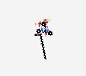 CCCCCCCCCCCCCCCCCCOc1ccccc1/N=N/c1c(NC(=O)c2cc(S(=O)(=O)O)cc(S(=O)(=O)O)c2)[nH]n(-c2ccccc2)c1=O.[NaH].[NaH]